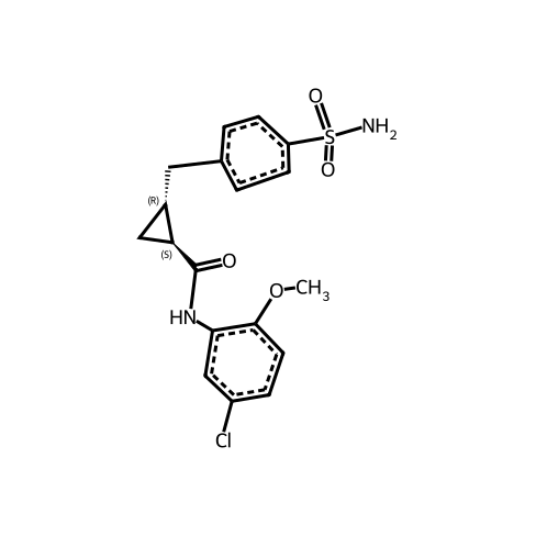 COc1ccc(Cl)cc1NC(=O)[C@H]1C[C@@H]1Cc1ccc(S(N)(=O)=O)cc1